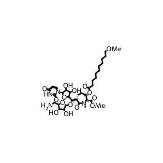 COCCCCCCCCCCC(=O)O[C@H]1CC[C@@H]([C@H](OC2OC(CN)C(O)C2O)C2OC(n3ccc(=O)[nH]c3=O)C(O)C2O)C(=O)N(C)[C@@H]1C(=O)OC